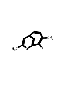 CC1=CC2C=CC(C)=C(F)C(=C2)S1